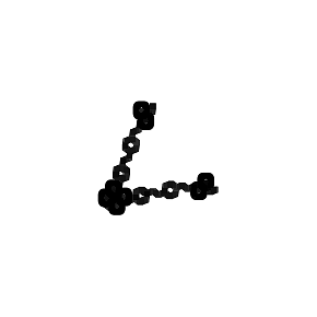 C=CC(=O)OCCCC1CCC(CCc2ccc(COC3OCCOC3OCc3ccc(CCC4CCC(CCCOC(=O)C=C)CC4)cc3)cc2)CC1